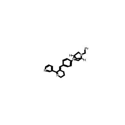 CC(C)CN1C[C@@H]2C[C@H]1CN2c1ccc(/C=C2\CCCN=C2c2cccnc2)cc1